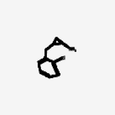 NC1CC1Cc1ccccc1Cl